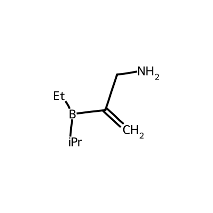 C=C(CN)B(CC)C(C)C